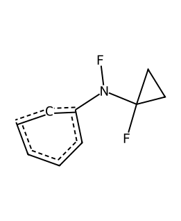 FN(c1ccccc1)C1(F)CC1